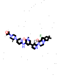 C[C@H]1CN(C2COC2)CCN1c1ccc(Nc2cc(-c3ccnc(N4CCn5c6c(c(F)c5C4=O)CC(C)(C)C6)c3C=O)cn(C)c2=O)nc1